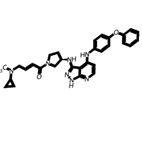 CN(C/C=C/C(=O)N1CC[C@@H](Nc2n[nH]c3nccc(Nc4ccc(Oc5ccccc5)cc4)c23)C1)C1CC1